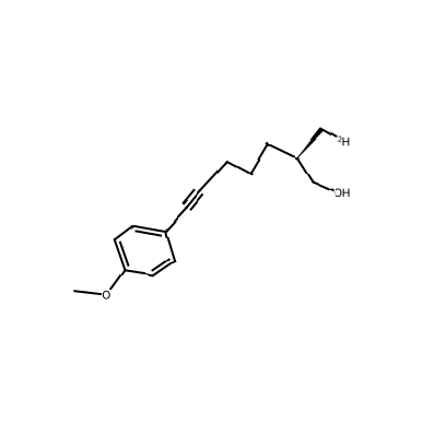 [2H]C[C@@H](CO)CCCC#Cc1ccc(OC)cc1